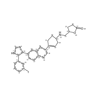 Cc1cccc(-c2[nH]cnc2-c2ccc3ncc(C4=CCC(NCC5CCC(=O)O5)CC4)cc3c2)n1